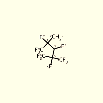 [CH2]C(F)(C(F)C(F)(C(F)(F)F)C(F)(F)F)C(F)(F)F